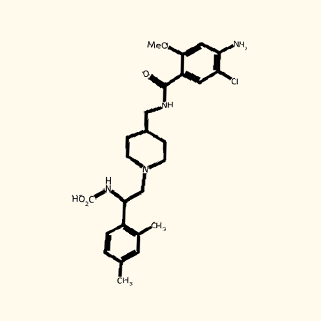 COc1cc(N)c(Cl)cc1C(=O)NCC1CCN(CC(NC(=O)O)c2ccc(C)cc2C)CC1